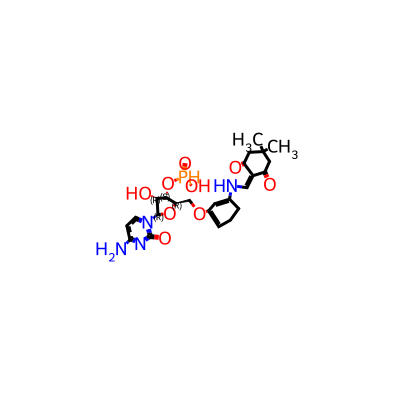 CC1(C)CC(=O)C(=CNC2=CC(OC[C@H]3O[C@@H](n4ccc(N)nc4=O)[C@H](O)[C@@H]3O[PH](=O)O)=CCC2)C(=O)C1